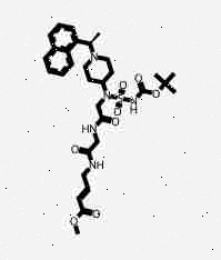 COC(=O)/C=C/CNC(=O)CNC(=O)CN(C1CCN([C@H](C)c2cccc3ccccc23)CC1)S(=O)(=O)NC(=O)OC(C)(C)C